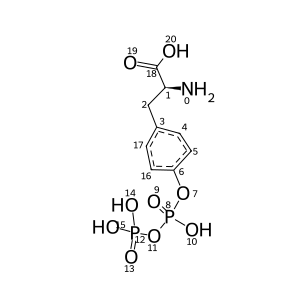 N[C@@H](Cc1ccc(OP(=O)(O)OP(=O)(O)O)cc1)C(=O)O